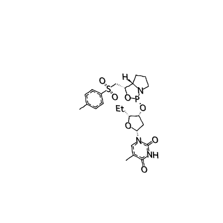 CC[C@H]1O[C@@H](n2cc(C)c(=O)[nH]c2=O)C[C@H]1O[P@@]1O[C@H](CS(=O)(=O)c2ccc(C)cc2)[C@@H]2CCCN21